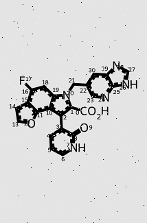 O=C(O)c1c(-c2ccc[nH]c2=O)c2c3occc3c(F)cc2n1Cc1cnc2[nH]cnc2c1